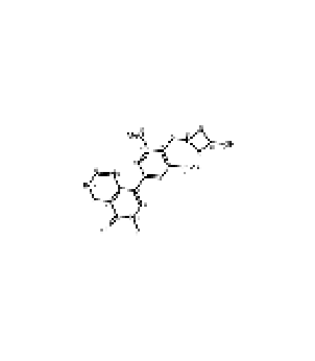 COc1cc(-c2cn(C)c(=O)c3c2N=CNC3)cc(OC)c1CN1CC(O)C1